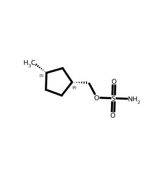 C[C@H]1CC[C@@H](COS(N)(=O)=O)C1